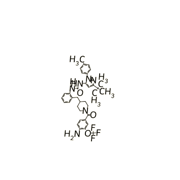 Cc1ccc(-n2nc(C(C)(C)C)cc2NC(=O)Nc2ccccc2CC2CCN(C(=O)c3ccc(N)c(OC(F)(F)F)c3)CC2)cc1